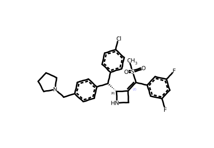 CS(=O)(=O)/C(=C1/CN[C@@H]1C(c1ccc(Cl)cc1)c1ccc(CN2CCCC2)cc1)c1cc(F)cc(F)c1